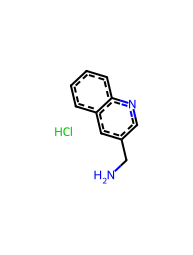 Cl.NCc1cnc2ccccc2c1